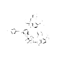 COC(=O)c1ccc2nc(CCl)n(Cc3cocn3)c2c1.COC(=O)c1ccc2nc(CN3CCN(c4cccc(OCc5ccc(Cl)cc5F)n4)[C@H]4COC[C@H]43)n(Cc3cocn3)c2c1